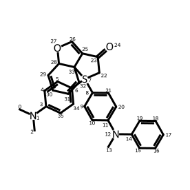 CN(C)c1ccc(S2(c3ccc(N(C)c4ccccc4)cc3)CC(=O)C3=COC4C=CC=CC342)cc1